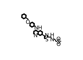 CS(=O)(=O)CCNCc1nc(-c2ccc3c(Nc4ccc(OCc5ccccc5)cc4)ccnc3c2)cs1